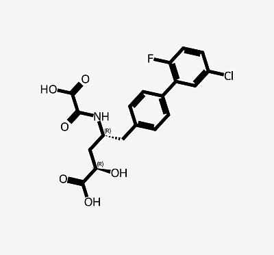 O=C(O)C(=O)N[C@H](Cc1ccc(-c2cc(Cl)ccc2F)cc1)C[C@@H](O)C(=O)O